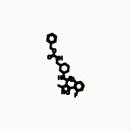 Cc1noc(-c2c(F)cccc2Cl)c1C(=O)NC1CCCC(CNC(=O)OCc2ccccc2)C1